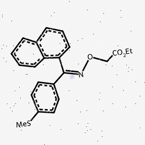 CCOC(=O)CO/N=C(/c1ccc(SC)cc1)c1cccc2ccccc12